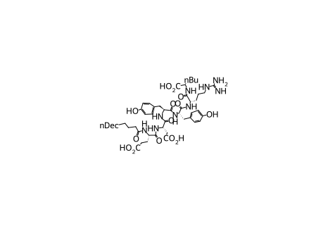 CCCCCCCCCCCCCC(=O)N[C@@H](CCC(=O)O)C(=O)N[C@@H](CC(=O)O)C(=O)N[C@@H](Cc1ccc(O)cc1)C(=O)N[C@@H](Cc1ccc(O)cc1)C(=O)N[C@@H](CCCNC(=N)N)C(=O)N[C@@H](CCCC)C(=O)O